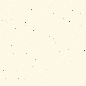 O=C(O)N1CCCCC1C(O)Cc1ccc2ccccc2c1